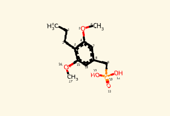 CCCc1c(OC)cc(CP(=O)(O)O)cc1OC